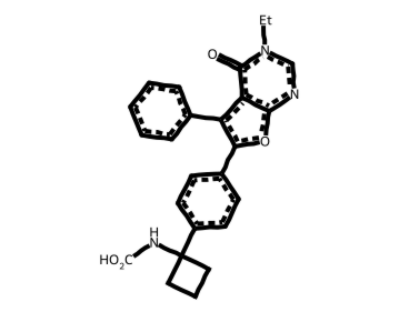 CCn1cnc2oc(-c3ccc(C4(NC(=O)O)CCC4)cc3)c(-c3ccccc3)c2c1=O